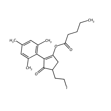 CCCCC(=O)OC1=C(c2c(C)cc(C)cc2C)C(=O)C(CCI)C1